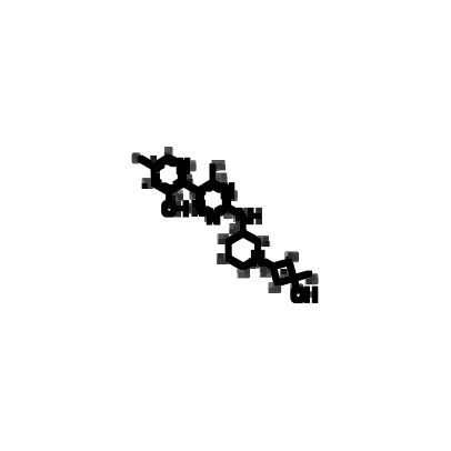 Cc1cnc(-c2nnc(NC3CCCN(C4CC(C)(O)C4)C3)nc2C)c(O)c1